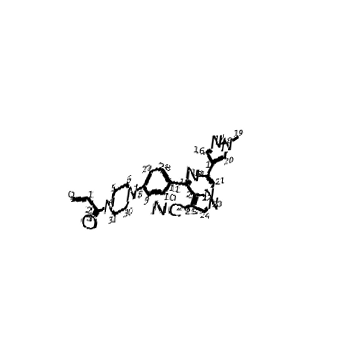 C=CC(=O)N1CCN(c2ccc(-c3nc(-c4cnn(C)c4)cn4ncc(C#N)c34)cc2)CC1